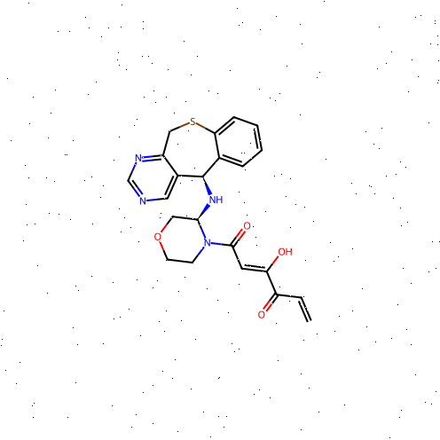 C=CC(=O)/C(O)=C/C(=O)N1CCOC[C@H]1N[C@@H]1c2ccccc2SCc2ncncc21